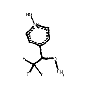 COC(c1cc[n+](O)cc1)C(F)(F)F